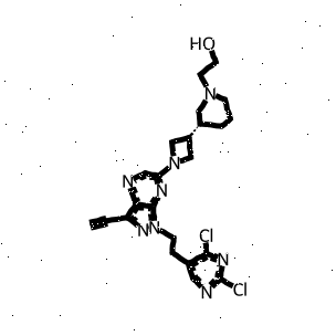 C#Cc1nn(CCc2cnc(Cl)nc2Cl)c2nc(N3CC([C@H]4CCCN(CCO)C4)C3)cnc12